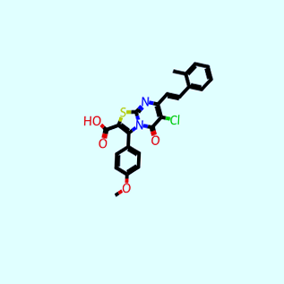 COc1ccc(-c2c(C(=O)O)sc3nc(/C=C/c4ccccc4C)c(Cl)c(=O)n23)cc1